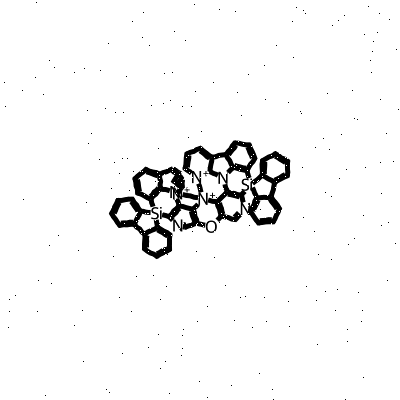 c1ccc2c(c1)-c1ccccc1[Si]21c2ncc3c4c2-n2c5c1cccc5c1ccc[n+](c12)[N+]41c2c(cnc4c2-n2c5c(cccc5c5ccc[n+]1c52)[Si]41c2ccccc2-c2ccccc21)O3